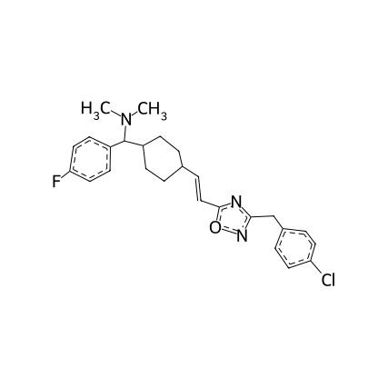 CN(C)C(c1ccc(F)cc1)C1CCC(C=Cc2nc(Cc3ccc(Cl)cc3)no2)CC1